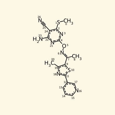 CSc1nc(O/N=C(\C)c2sc(-c3cccnc3)nc2C)nc(N)c1C#N